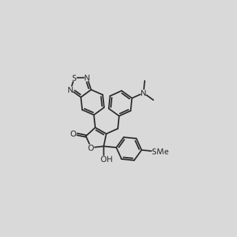 CSc1ccc(C2(O)OC(=O)C(c3ccc4nsnc4c3)=C2Cc2cccc(N(C)C)c2)cc1